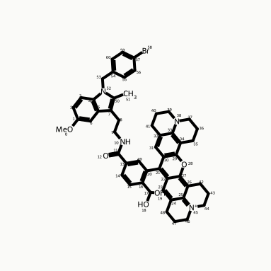 COc1ccc2c(c1)c(CCNC(=O)c1ccc(C(O)O)c(C3=c4cc5c6c(c4Oc4c3cc3c7c4CCCN7CCC3)CCC[N+]=6CCC5)c1)c(C)n2Cc1ccc(Br)cc1